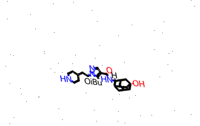 CC(C)COc1c(C(=O)N[C@H]2C3CC4CC2C[C@](O)(C4)C3)cnn1CCC1CCNCC1